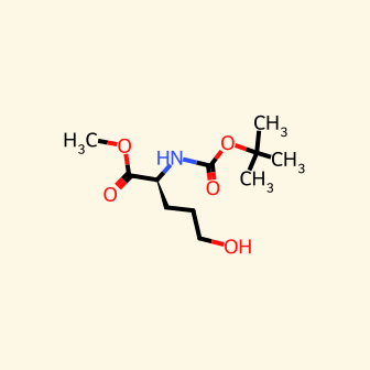 COC(=O)[C@H](CCCO)NC(=O)OC(C)(C)C